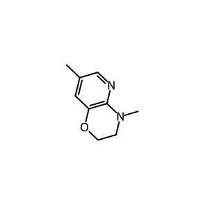 Cc1cnc2c(c1)OCCN2C